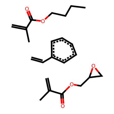 C=C(C)C(=O)OCC1CO1.C=C(C)C(=O)OCCCC.C=Cc1ccccc1